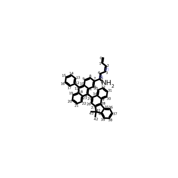 C=C/C=C\C=C(/N)c1ccc2c(-c3ccccc3)c3ccccc3c(-c3cc4c(c5ccccc35)-c3ccccc3C4(C)C)c2c1